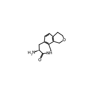 N[C@H]1Cc2ccc3c(c2CNC1=O)COCC3